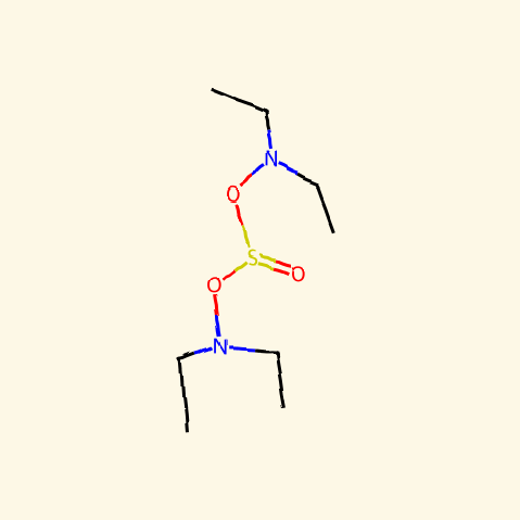 CCN(CC)OS(=O)ON(CC)CC